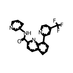 O=C(Nc1cccnc1)c1ccc2cccc(-c3cc(C(F)(F)F)ccn3)c2n1